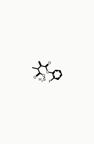 C=C(C(=O)Oc1ccccc1F)C(C)C(=O)O[SiH3]